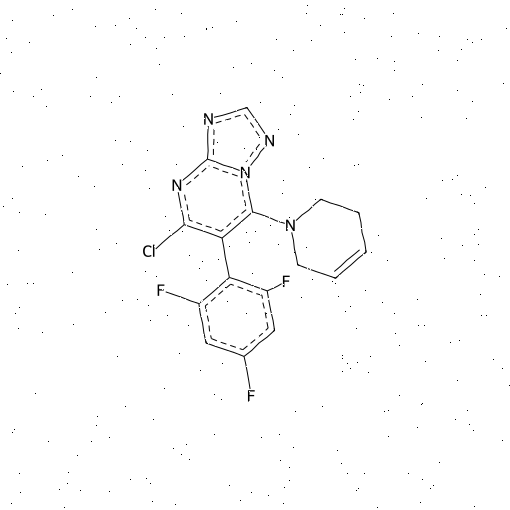 Fc1cc(F)c(-c2c(Cl)nc3ncnn3c2N2CC=CCC2)c(F)c1